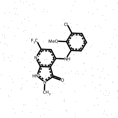 COc1c(Cl)cccc1Nc1cc(C(F)(F)F)nc2[nH]n(C)c(=O)c12